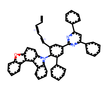 C=C/C=C\C=C\c1cc(-c2nc(-c3ccccc3)cc(-c3ccccc3)n2)cc(-c2ccccc2)c1-n1c2ccccc2c2c3c(ccc21)oc1ccccc13